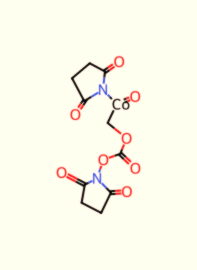 O=C(O[CH2][Co](=[O])[N]1C(=O)CCC1=O)ON1C(=O)CCC1=O